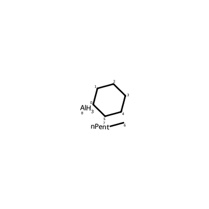 C1CCCCC1.CCCCCC.[AlH3]